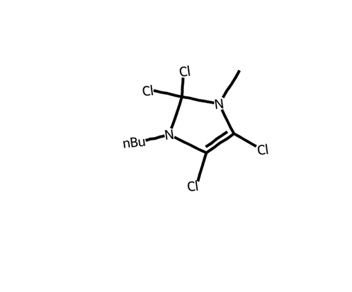 CCCCN1C(Cl)=C(Cl)N(C)C1(Cl)Cl